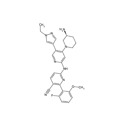 CCn1cc(-c2cnc(Nc3ccc(C#N)c(-c4c(F)cccc4OC)n3)cc2N2CCC[C@H](N)C2)cn1